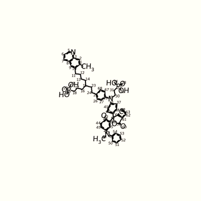 Cc1cc2ncccc2cc1CCCCC(CCCP(=O)(O)O)CCc1ccc(N(CCP(=O)(O)O)c2ccc3c(c2)Oc2ccc(N(C)c4ccccc4)cc2C32OC(=O)c3ccccc32)cc1